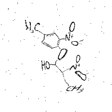 CCC(C(O)Oc1ccc(C)cc1[N+](=O)[O-])[N+](=O)[O-]